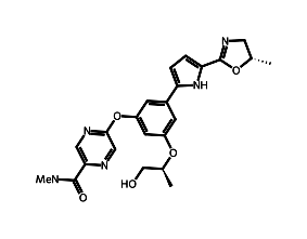 CNC(=O)c1cnc(Oc2cc(O[C@@H](C)CO)cc(-c3ccc(C4=NC[C@H](C)O4)[nH]3)c2)cn1